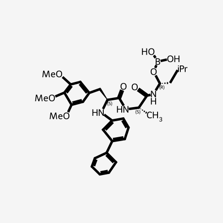 COc1cc(C[C@H](Nc2cccc(-c3ccccc3)c2)C(=O)N[C@@H](C)C(=O)N[C@@H](CC(C)C)OB(O)O)cc(OC)c1OC